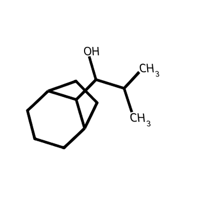 CC(C)C(O)C1C2CCCC1CC2